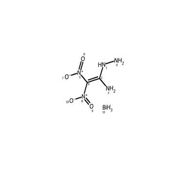 NNC(N)=C([N+](=O)[O-])[N+](=O)[O-].[BiH3]